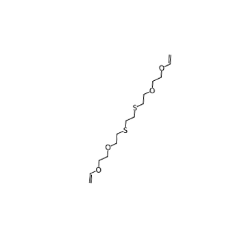 C=COCCOCCSCCSCCOCCOC=C